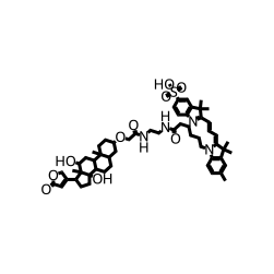 Cc1ccc2c(c1)C(C)(C)/C(=C/C=C/C1=Nc3ccc(S(=O)(=O)O)cc3C1(C)C)N2CCCCCC(=O)NCCNC(=O)COC1CCC2(C)C(CCC3C2CC(O)C2(C)C(C4=CC(=O)OC4)CCC32O)C1